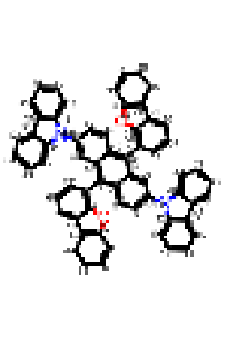 C1=Cc2oc3c(-c4c5ccc(-n6c7ccccc7c7ccccc76)cc5c(-c5cccc6c7c(oc56)C=CCC7)c5ccc(-n6c7ccccc7c7ccccc76)cc45)cccc3c2CC1